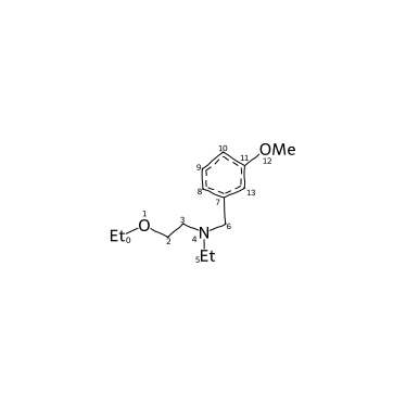 CCOCCN(CC)Cc1cccc(OC)c1